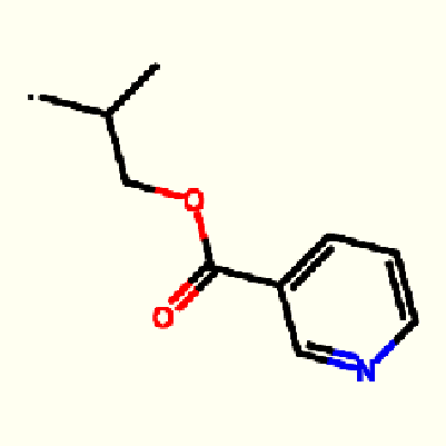 [CH2]C(C)COC(=O)c1cccnc1